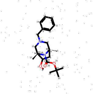 COC1C[C@]2(C)CN(Cc3ccccc3)C[C@]1(C)N2C(=O)OC(C)(C)C